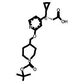 CC(C)(C)OC(=O)N1CCC(COc2cc([C@@H](CC(=O)O)C3CC3)ccn2)CC1